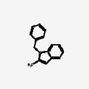 Cc1cc2ccccc2n1Cc1cc[c]cc1